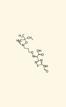 CC(C)(C)ON(C=O)CCCON=C(C(=O)O)c1nsc(NC=O)n1